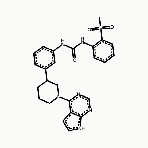 CS(=O)(=O)c1ccccc1NC(=O)Nc1cccc(C2CCCN(c3ncnc4[nH]ccc34)C2)c1